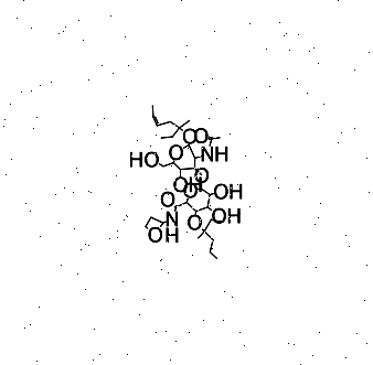 C/C=C\CC(C)(CC)OC1OC(CO)C(O)C(OC2OC(C(=O)NC3CCO3)C(OC(C)(CC)CCC)C(O)C2O)C1NC(C)=O